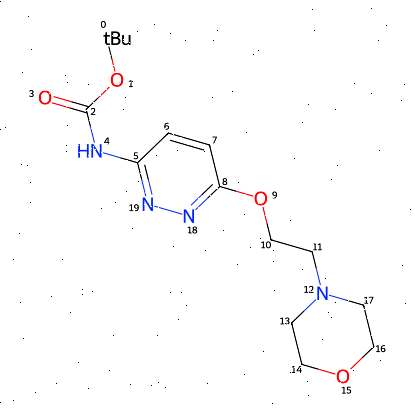 CC(C)(C)OC(=O)Nc1ccc(OCCN2CCOCC2)nn1